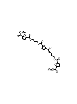 COC(=O)c1ccc(C(=O)OCCCOC(=O)c2ccc(C(=O)OCCCOC(=O)c3ccc(C(=O)OC)o3)o2)o1